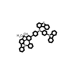 CC1(C)c2cc(-c3ccc(N(c4ccc(-n5c6ccccc6c6ccccc65)cc4)c4cccc5sc6ccccc6c45)cc3)cc3c2-c2c1ccc1c4ccccc4n(c21)-c1ccccc1-3